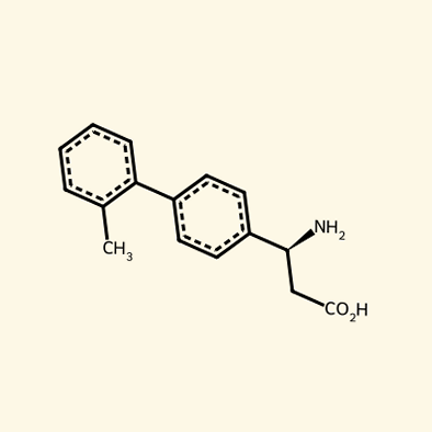 Cc1ccccc1-c1ccc([C@@H](N)CC(=O)O)cc1